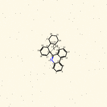 CC[C@]1(c2nc3ccccc3c3ccccc23)C=CC=CC1C1CCCCC1